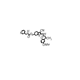 COc1cccc(C(C)CC(=O)Nc2sc3c(c2C#N)CCC(COC(=O)NCc2cccnc2)C3)c1